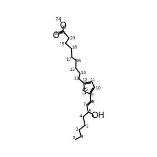 CCCCCC(O)C=Cc1ccc(CCCCCCCCC(=O)OC)s1